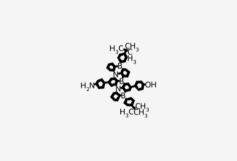 CC(C)(C)c1ccc(B2c3ccccc3N3c4cc(-c5ccc(N)cc5)cc5c4B(c4cccc2c43)c2cc(-c3ccc(O)cc3)cc3c2N5c2ccccc2B3c2ccc(C(C)(C)C)cc2)cc1